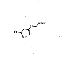 CCCCCCCOC(=O)CC(CC)CCC